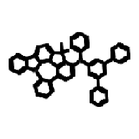 CC1(C)c2ccc3c4ccccc4n4c3c2-c2c(ccc(N(c3ccccc3)c3cc(-c5ccccc5)cc(-c5ccccc5)c3)c21)-c1ccccc1-4